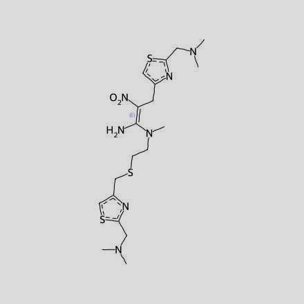 CN(C)Cc1nc(CSCCN(C)/C(N)=C(\Cc2csc(CN(C)C)n2)[N+](=O)[O-])cs1